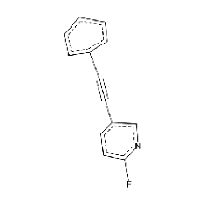 Fc1ccc(C#Cc2ccccc2)cn1